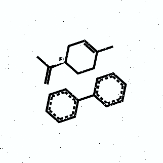 C=C(C)[C@H]1CC=C(C)CC1.c1ccc(-c2ccccc2)cc1